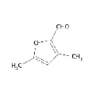 Cc1cc(C)c(C=O)o1